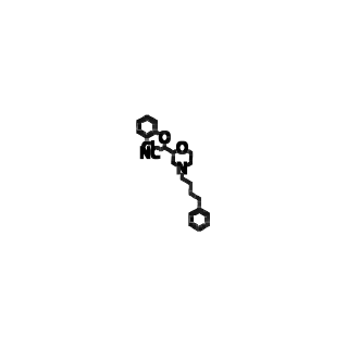 N#C[C@@H](Oc1ccccc1Cl)[C@@H]1CN(CCCCc2ccccc2)CCO1